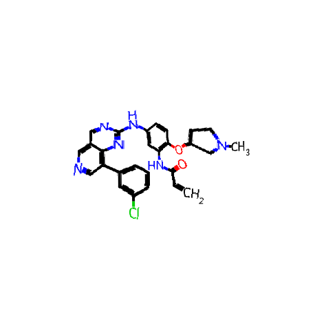 C=CC(=O)Nc1cc(Nc2ncc3cncc(-c4cccc(Cl)c4)c3n2)ccc1OC1CCN(C)C1